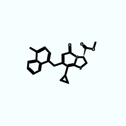 COC(=O)[C@@H]1CSc2c(C3CC3)c(Cc3ccc(C)c4ccccc34)cc(=O)n21